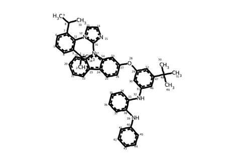 CC(C)c1cccc(C(C)C)c1-n1ccnc1-n1c2ccccc2c2ccc(Oc3cc(Nc4ccccc4Nc4ccccc4)cc(C(C)(C)C)c3)cc21